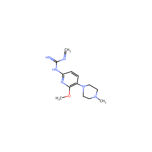 C=NC(=N)Nc1ccc(N2CCN(C)CC2)c(OC)n1